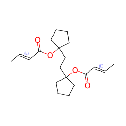 C/C=C/C(=O)OC1(CCC2(OC(=O)/C=C/C)CCCC2)CCCC1